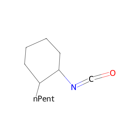 CCCCCC1CCCCC1N=C=O